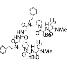 CN[C@@H](C)C(=O)N[C@H](C(=O)N1CCC[C@H]1CN(CCc1ccccc1)C(=O)CNC(=O)NCC(=O)N(CCc1ccccc1)C[C@@H]1CCCN1C(=O)[C@@H](NC(=O)[C@H](C)NC)C(C)(C)C)C(C)(C)C